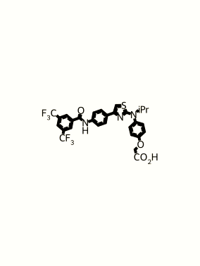 CC(C)N(c1ccc(OCC(=O)O)cc1)c1nc(-c2ccc(NC(=O)c3cc(C(F)(F)F)cc(C(F)(F)F)c3)cc2)cs1